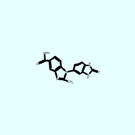 CNC(=O)c1ccc2c(c1)nc(C)n2-c1ccc2[nH]c(=O)[nH]c2c1